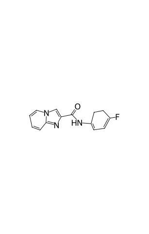 O=C(NC1=CC=C(F)CC1)c1cn2ccccc2n1